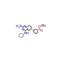 CC(C)(C)OC(=O)c1cccc(-c2ccc3nc(N)nc(NC4CCCCC4)c3c2)c1